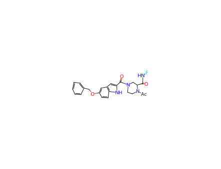 CC(=O)N1CCN(C(=O)c2cc3cc(OCc4ccccc4)ccc3[nH]2)CC1C(=O)NF